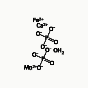 O.O=P([O-])([O-])[O-].O=P([O-])([O-])[O-].[Ca+2].[Fe+2].[Mn+2]